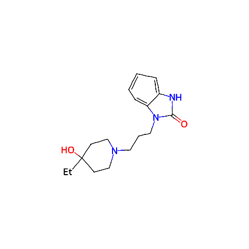 CCC1(O)CCN(CCCn2c(=O)[nH]c3ccccc32)CC1